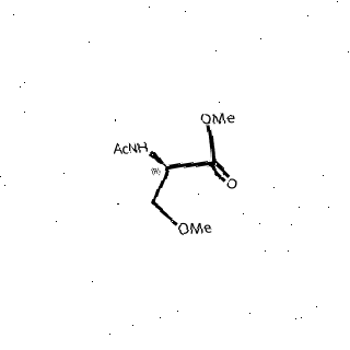 COC[C@@H](NC(C)=O)C(=O)OC